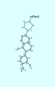 CCCCCC1CCC(c2ccc3c(F)c(-c4ccc(C(F)(F)F)c(F)c4)ccc3c2)CC1